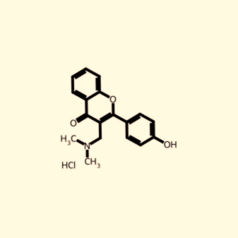 CN(C)Cc1c(-c2ccc(O)cc2)oc2ccccc2c1=O.Cl